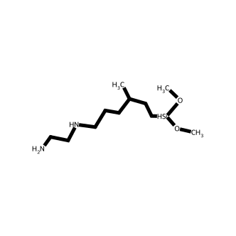 CO[SiH](CCC(C)CCCNCCN)OC